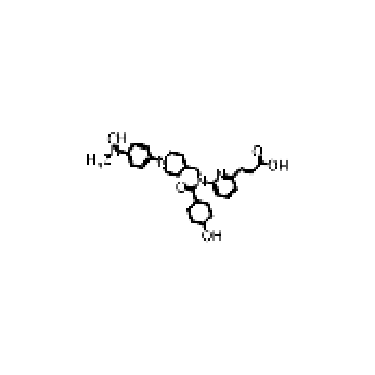 CN(C)c1ccc(N2CCC(CN(C(=O)C3CCC(O)CC3)c3cccc(C=CC(=O)O)n3)CC2)cc1